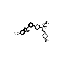 CC(C)N1CCN(CCN(C(=O)OC(C)(C)C)C2CCN(c3cccc(-c4cc5cc(C(F)(F)F)ccc5[nH]4)c3)CC2)CC1